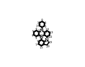 c1ccc(N2c3ccccc3B3c4cccc5c4N(CC5)c4cccc2c43)cc1